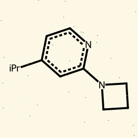 CC(C)c1ccnc(N2CCC2)c1